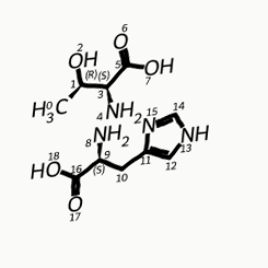 C[C@@H](O)[C@H](N)C(=O)O.N[C@@H](Cc1c[nH]cn1)C(=O)O